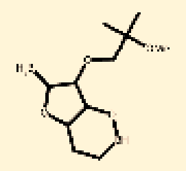 BC1OC2CCBOC2C1OCC(C)(C)OC